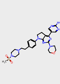 CS(=O)(=O)N1CCN(CCc2ccc(N3CCc4c(-c5cnc(N)nc5)nc(N5CCOCC5)nc43)cc2)CC1